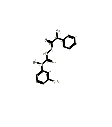 Cc1cccc(N(Br)C(=O)NOC(=O)C(C)c2ccccc2)c1